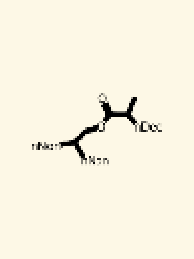 CCCCCCCCCCC(C)C(=O)OCC(CCCCCCCCC)CCCCCCCCC